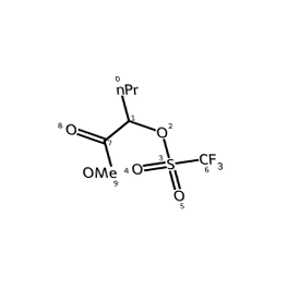 CCCC(OS(=O)(=O)C(F)(F)F)C(=O)OC